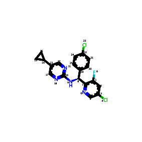 Fc1cc(Cl)cnc1[C@@H](Nc1ncc(C2CC2)cn1)c1ccc(Cl)cc1